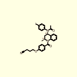 CC(=O)N(c1ccc(I)cc1)[C@@H]1C[C@H](C)N(C(=O)c2ccc(OCCCC#N)cc2)c2ccccc21